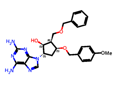 COc1ccc(CO[C@H]2C[C@H](n3cnc4c(N)nc(N)nc43)[C@@H](O)[C@H]2COCc2ccccc2)cc1